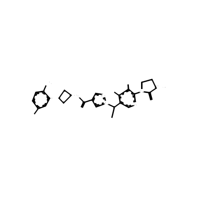 Cc1ccc(C#N)c([C@H]2C[C@@H](NC(=O)c3cnn(C(C)c4cnc(N5CC[C@H](C)C5=O)c(P)c4C)c3)C2)c1